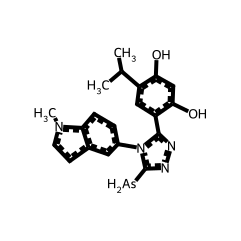 CC(C)c1cc(-c2nnc([AsH2])n2-c2ccc3c(ccn3C)c2)c(O)cc1O